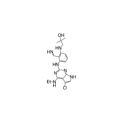 CCNc1nc(Nc2cccc(NCC(C)(C)O)c2C=N)nc2[nH]cc(Cl)c12